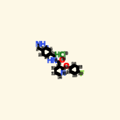 Cl.NCc1ccc(CNC(=O)c2cccnc2Oc2ccc(F)cc2)cc1